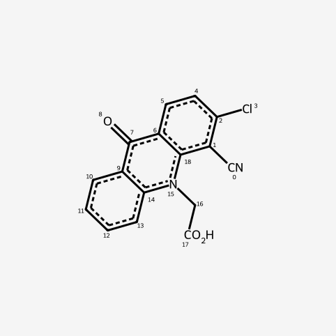 N#Cc1c(Cl)ccc2c(=O)c3ccccc3n(CC(=O)O)c12